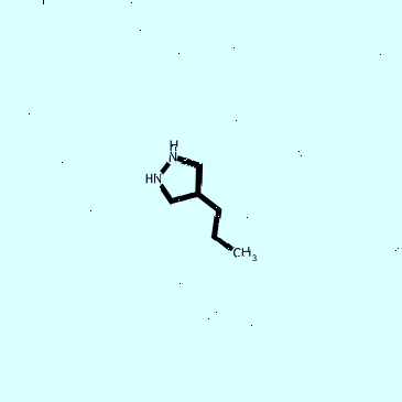 CCCC1CNNC1